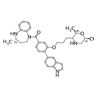 C[C@H]1CCN(C(=O)c2ccc(-c3ccc4[nH]ccc4c3)c(OCCCC3NC[C@H](C)O[C@@H]3C)c2)c2ccccc2N1